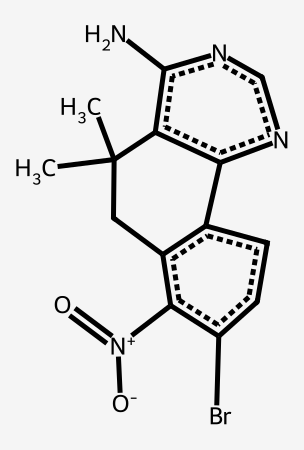 CC1(C)Cc2c(ccc(Br)c2[N+](=O)[O-])-c2ncnc(N)c21